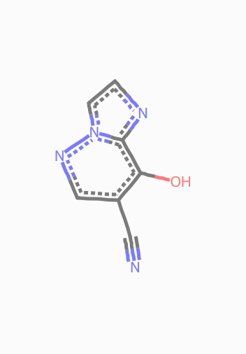 N#Cc1cnn2ccnc2c1O